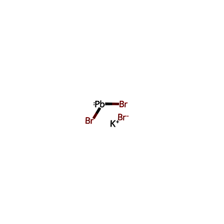 [Br-].[Br][Pb][Br].[K+]